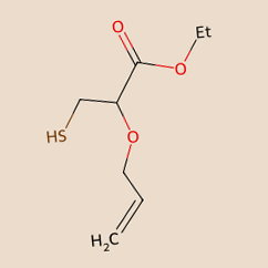 C=CCOC(CS)C(=O)OCC